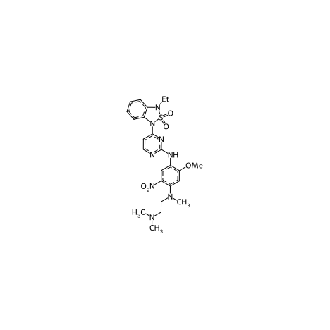 CCN1c2ccccc2N(c2ccnc(Nc3cc([N+](=O)[O-])c(N(C)CCN(C)C)cc3OC)n2)S1(=O)=O